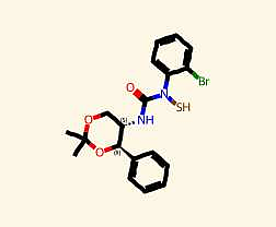 CC1(C)OC[C@H](NC(=O)N(S)c2ccccc2Br)[C@@H](c2ccccc2)O1